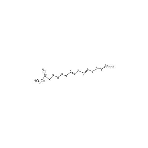 CCCCCC=CCC=CCC=CCCCCCC(Cl)C(=O)O